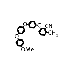 COc1ccc(Oc2ccc(Oc3ccc(Oc4cccc(C)c4C#N)cc3)cc2)cc1